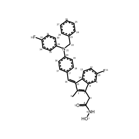 CC1=C(CC(=O)NO)c2cc(F)ccc2/C1=C\c1ccc(N(Cc2ccccc2)c2ccc(F)cc2)cc1